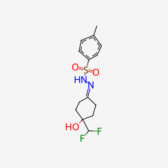 Cc1ccc(S(=O)(=O)NN=C2CCC(O)(C(F)F)CC2)cc1